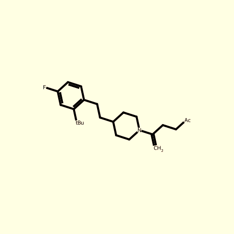 C=C(CCC(C)=O)N1CCC(CCc2ccc(F)cc2C(C)(C)C)CC1